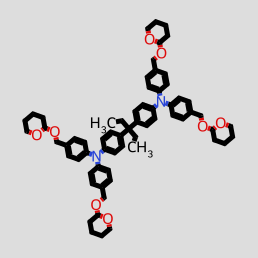 CCC(CC)(c1ccc(N(c2ccc(COC3CCCCO3)cc2)c2ccc(COC3CCCCO3)cc2)cc1)c1ccc(N(c2ccc(COC3CCCCO3)cc2)c2ccc(COC3CCCCO3)cc2)cc1